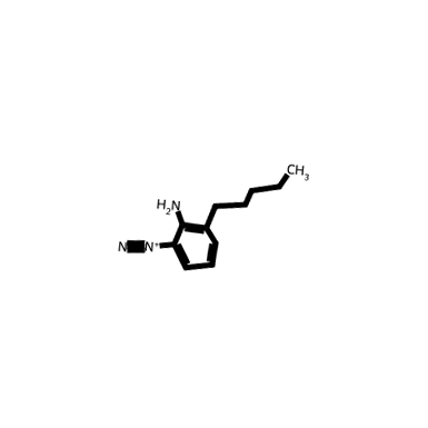 CCCCCc1cccc([N+]#N)c1N